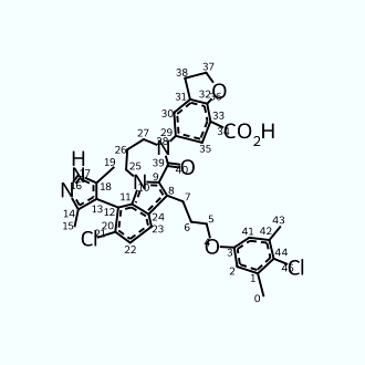 Cc1cc(OCCCc2c3n(c4c(-c5c(C)n[nH]c5C)c(Cl)ccc24)CCCN(c2cc4c(c(C(=O)O)c2)OCC4)C3=O)cc(C)c1Cl